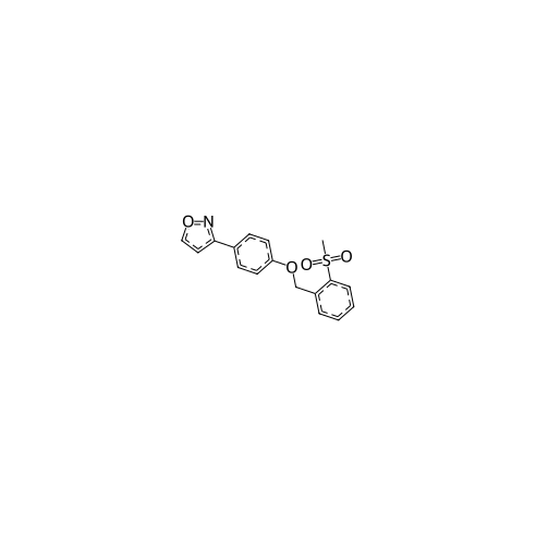 CS(=O)(=O)c1ccccc1COc1ccc(-c2ccon2)cc1